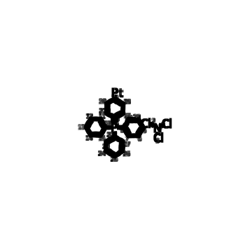 ClN(Cl)Cl.[Pt].c1ccc([PH](c2ccccc2)(c2ccccc2)c2ccccc2)cc1